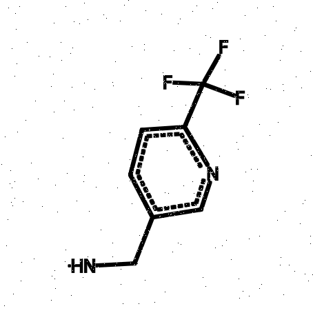 [NH]Cc1ccc(C(F)(F)F)nc1